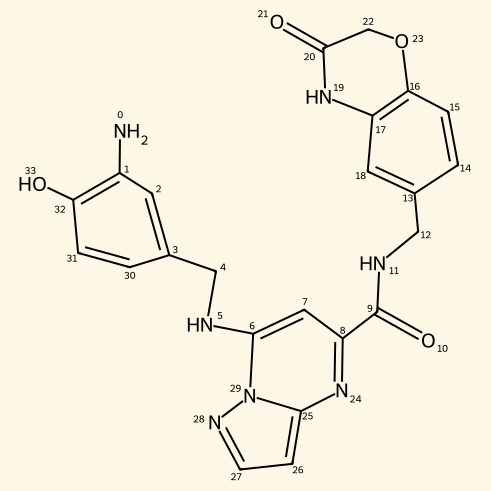 Nc1cc(CNc2cc(C(=O)NCc3ccc4c(c3)NC(=O)CO4)nc3ccnn23)ccc1O